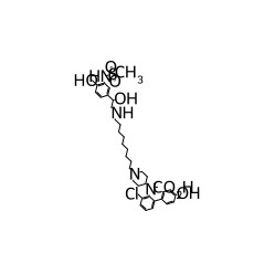 CS(=O)(=O)Nc1cc([C@@H](O)CNCCCCCCCCCN2CCC(N(C(=O)O)c3c(Cl)cccc3-c3ccc(O)cc3)CC2)ccc1O